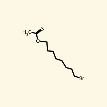 CC(=S)OCCCCCCCCBr